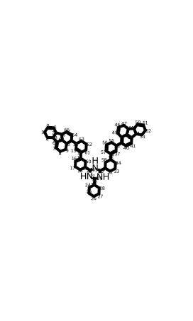 C1=CC2C(CC1)C1=CCCC3C(C4C=C(C5=CCCC(C6NC(C7CCCCC7)NC(C7CCCC(C8=CC(c9ccc%10c%11c9C=CCC%11C9C=CCCC%109)CC=C8)C7)N6)C5)CCC4)C=CC2C13